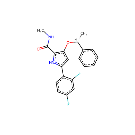 CNC(=O)c1[nH]c(-c2ccc(F)cc2F)cc1O[C@H](C)c1ccccc1